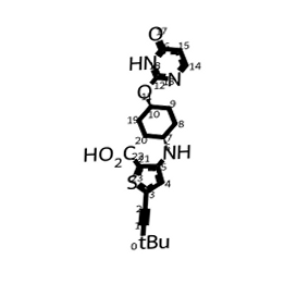 CC(C)(C)C#Cc1cc(N[C@H]2CC[C@H](Oc3nccc(=O)[nH]3)CC2)c(C(=O)O)s1